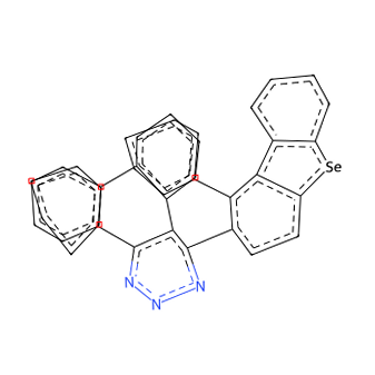 c1ccc(-c2ccccc2-c2c(-c3ccccc3)nnnc2-c2ccc3[se]c4ccccc4c3c2-c2ccccc2)cc1